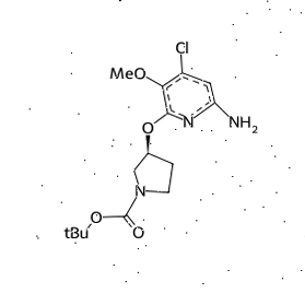 COc1c(Cl)cc(N)nc1O[C@H]1CCN(C(=O)OC(C)(C)C)C1